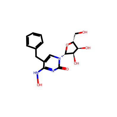 O=c1nc(NO)c(Cc2ccccc2)cn1[C@@H]1O[C@H](CO)[C@@H](O)[C@H]1O